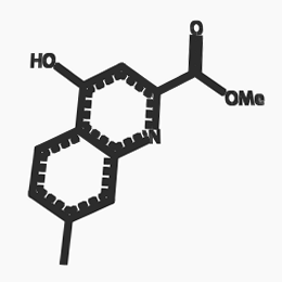 COC(=O)c1cc(O)c2ccc(C)cc2n1